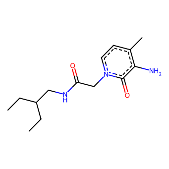 CCC(CC)CNC(=O)Cn1ccc(C)c(N)c1=O